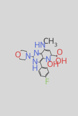 CNc1cc(C(=O)O)nc2c1=NC(N1CCOCC1)NC=2c1ccc(F)cc1O